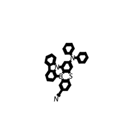 N#Cc1ccc2c(c1)B1c3c(cc(N(c4ccccc4)c4ccccc4)cc3-n3c4ccccc4c4cccc1c43)S2